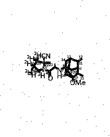 [2H]C1([2H])N(C(=O)CNC23CC4C(C)C(C2)C(C)C(OC)(C3)C4C)[C@](C)(C#N)C([2H])([2H])C1([2H])[2H]